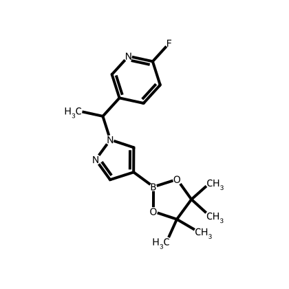 CC(c1ccc(F)nc1)n1cc(B2OC(C)(C)C(C)(C)O2)cn1